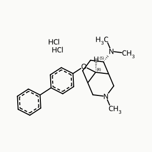 CN1CC2CC[C@H](N(C)C)C(C1)[C@@H]2Oc1ccc(-c2ccccc2)cc1.Cl.Cl